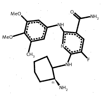 COc1cc(Nc2nc(NC3CCCC[C@@H]3N)c(F)cc2C(N)=O)cc(C)c1OC